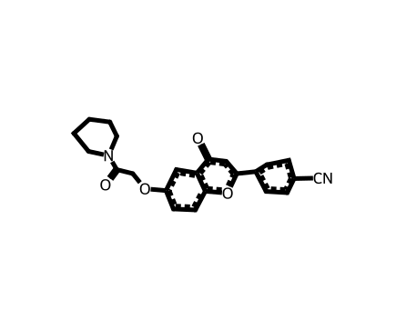 N#Cc1ccc(-c2cc(=O)c3cc(OCC(=O)N4CCCCC4)ccc3o2)cc1